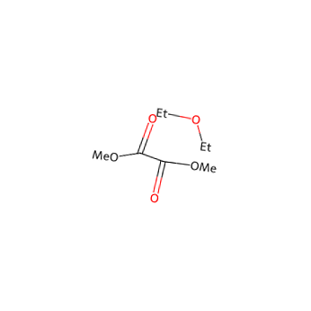 CCOCC.COC(=O)C(=O)OC